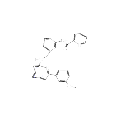 COc1cccc(C2=N/C(N[C@@H](C)c3cccc(NC(=O)c4ccccn4)c3)=C\C=C\C=C\2)c1